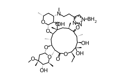 Bn1cc(CCN(C)[C@H]2C[C@@H](C)O[C@@H](O[C@@H]3[C@@H](C)[C@H](O[C@H]4C[C@@](C)(OC)[C@@H](O)[C@H](C)O4)[C@@H](C)C(=O)O[C@H](CC)[C@@](C)(O)[C@H](O)[C@@H](C)C(=O)[C@H](C)C[C@@]3(C)OC)[C@@H]2O)nn1